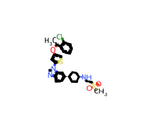 C[C@@H](Oc1csc(-n2cnc3ccc([C@H]4CC[C@H](NCCS(C)(=O)=O)CC4)cc32)c1)c1ccccc1Cl